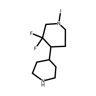 FC1(F)CN(I)CCC1C1CCNCC1